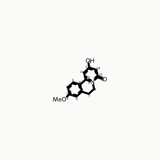 COc1ccc2c(c1)CCn1c-2cc(O)cc1=O